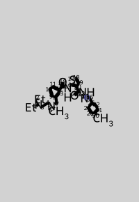 CCN(CC)CCN(C)Cc1cccc(C(=O)Nc2sccc2C(=O)N/N=C/c2ccc(C)cc2)c1